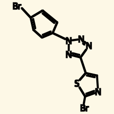 Brc1ccc(-n2nnc(-c3cnc(Br)s3)n2)cc1